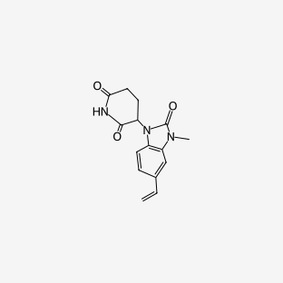 C=Cc1ccc2c(c1)n(C)c(=O)n2C1CCC(=O)NC1=O